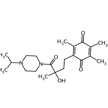 CC1=C(C)C(=O)C(CCC(C)(O)C(=O)N2CCN(C(C)C)CC2)=C(C)C1=O